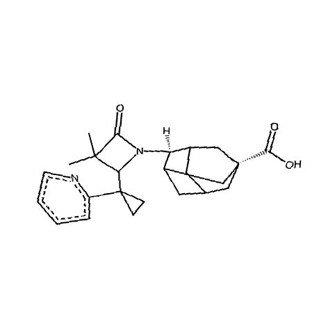 CC1(C)C(=O)N([C@H]2C3CC4CC2C[C@](C(=O)O)(C4)C3)C1C1(c2ccccn2)CC1